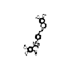 COc1cc2c(cc1OC)CN(CCc1ccc(-n3nnc(-c4cc(OC)c(OC)cc4N=O)n3)cc1)CC2